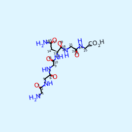 NCC(=O)NCC(=O)NCC(=O)N[C@@H](CC(N)=O)C(=O)NCC(=O)NCC(=O)O